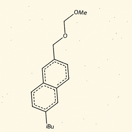 CCC(C)c1ccc2cc(COCOC)ccc2c1